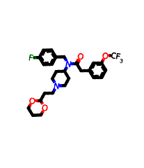 O=C(Cc1cccc(OC(F)(F)F)c1)N(Cc1ccc(F)cc1)C1CCN(CCC2OCCCO2)CC1